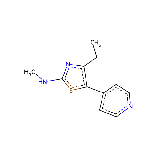 CCc1nc(NC)sc1-c1ccncc1